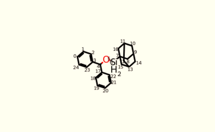 c1ccc(C(O[SiH2]C23CC4CC(CC(C4)C2)C3)c2ccccc2)cc1